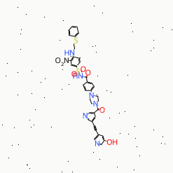 O=C(NS(=O)(=O)c1ccc(NCCSc2ccccc2)c([N+](=O)[O-])c1)c1ccc(N2CCN(C(=O)c3cncc(C#Cc4cncc(O)c4)c3)CC2)cc1